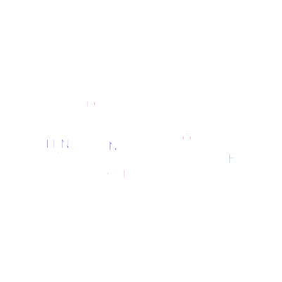 CC(c1ccc(F)o1)N(O)C(N)=O